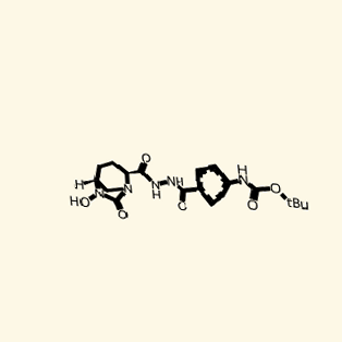 CC(C)(C)OC(=O)Nc1ccc(C(=O)NNC(=O)[C@@H]2CC[C@@H]3CN2C(=O)N3O)cc1